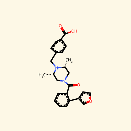 C[C@@H]1CN(C(=O)c2ccccc2-c2ccoc2)C[C@H](C)N1Cc1ccc(C(=O)O)cc1